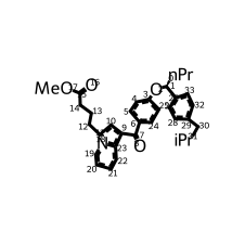 CCC[C@H](Oc1ccc(C(=O)c2cc(CCCC(=O)OC)n3ccccc23)cc1)c1ccc(CC(C)C)cc1